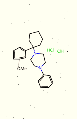 COc1cccc(C2(N3CCN(c4ccccc4)CC3)CCCCC2)c1.Cl.Cl